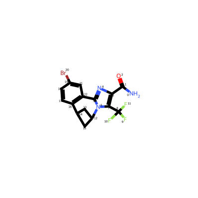 NC(=O)c1nc2n(c1C(F)(F)F)C1CC(C1)c1ccc(Br)cc1-2